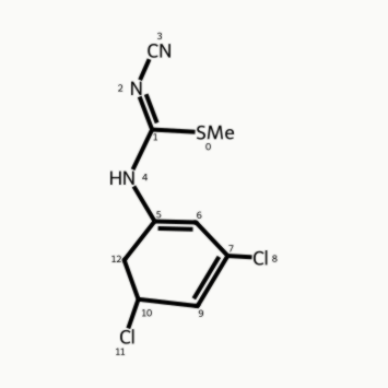 CS/C(=N\C#N)NC1=CC(Cl)=CC(Cl)C1